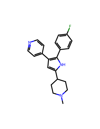 CN1CCC(c2cc(-c3ccncc3)c(-c3ccc(F)cc3)[nH]2)CC1